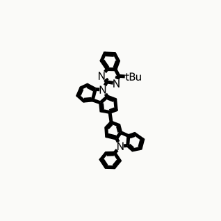 CC(C)(C)c1nc(-n2c3ccccc3c3cc(-c4ccc5c(c4)c4ccccc4n5-c4ccccc4)ccc32)nc2ccccc12